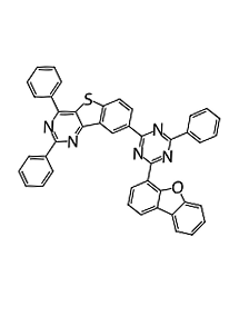 c1ccc(-c2nc(-c3ccc4sc5c(-c6ccccc6)nc(-c6ccccc6)nc5c4c3)nc(-c3cccc4c3oc3ccccc34)n2)cc1